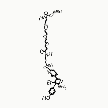 CCc1c(-c2ccc(C(=O)NCCCNC(=O)CCOCCOCCOCCNC(=O)OC(C)(C)C)nc2)cnc(N)c1-c1ccc(O)cc1